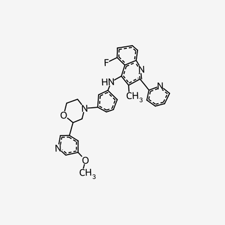 COc1cncc(C2CN(c3cccc(Nc4c(C)c(-c5ccccn5)nc5cccc(F)c45)c3)CCO2)c1